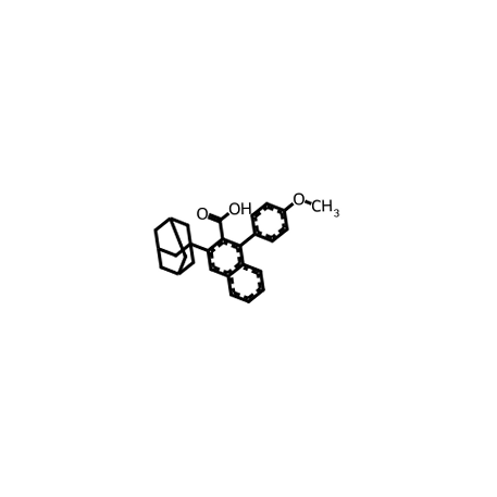 COc1ccc(-c2c(C(=O)O)c(C34CC5CC(CC(C5)C3)C4)cc3ccccc23)cc1